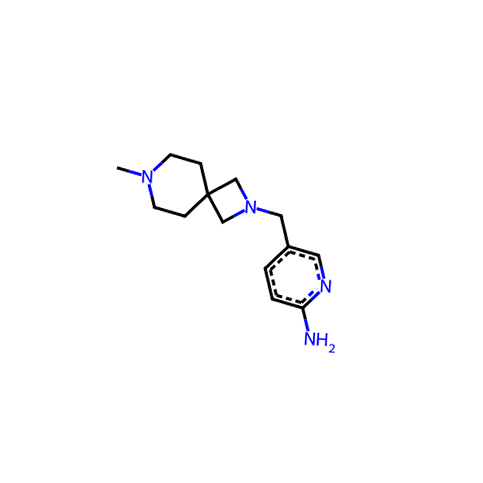 CN1CCC2(CC1)CN(Cc1ccc(N)nc1)C2